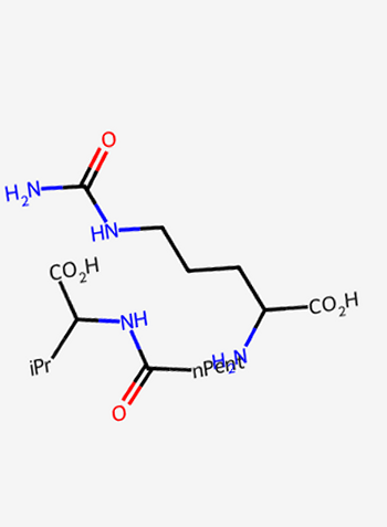 CCCCCC(=O)NC(C(=O)O)C(C)C.NC(=O)NCCCC(N)C(=O)O